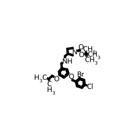 CC(C)COc1cc(CNCC2CCN(C(=O)OC(C)(C)C)C2)cc(OCc2ccc(Cl)cc2Br)c1